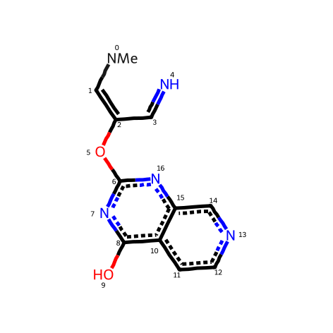 CN/C=C(\C=N)Oc1nc(O)c2ccncc2n1